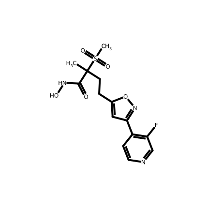 CC(CCc1cc(-c2ccncc2F)no1)(C(=O)NO)S(C)(=O)=O